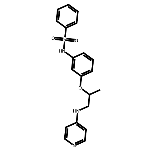 CC(CNc1ccncc1)Oc1cccc(NS(=O)(=O)c2ccccc2)c1